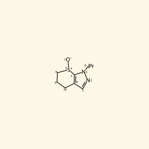 CC(C)n1ncc2c1[S+]([O-])CCC2